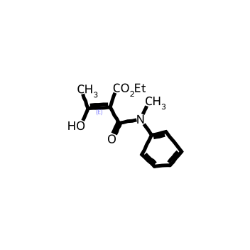 CCOC(=O)/C(C(=O)N(C)c1ccccc1)=C(\C)O